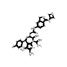 CC(=N)N1C(=N)[C@H](CC(=O)Nc2ccc3c(c2)CO/C3=N\C2COC2)N=C(c2ccc(Cl)cc2)c2c1sc(C)c2C